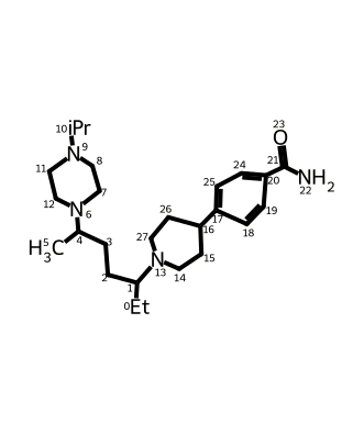 CCC(CCC(C)N1CCN(C(C)C)CC1)N1CCC(c2ccc(C(N)=O)cc2)CC1